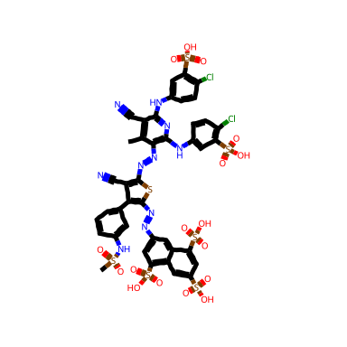 Cc1c(C#N)c(Nc2ccc(Cl)c(S(=O)(=O)O)c2)nc(Nc2ccc(Cl)c(S(=O)(=O)O)c2)c1N=Nc1sc(N=Nc2cc(S(=O)(=O)O)c3cc(S(=O)(=O)O)cc(S(=O)(=O)O)c3c2)c(-c2cccc(NS(C)(=O)=O)c2)c1C#N